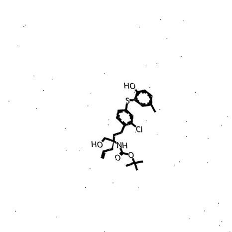 C=CC[C@@](CO)(CCc1ccc(Sc2cc(C)ccc2O)cc1Cl)NC(=O)OC(C)(C)C